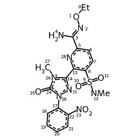 CCO/N=C(\N)c1ccc(S(=O)(=O)NC)c(-c2nn(-c3ccccc3[N+](=O)[O-])c(=O)n2C)n1